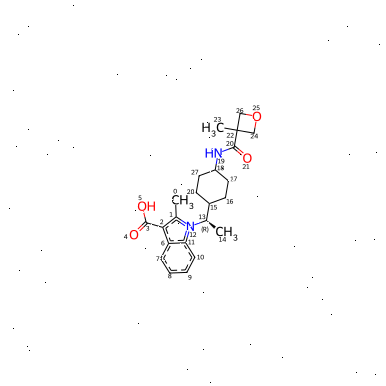 Cc1c(C(=O)O)c2ccccc2n1[C@H](C)C1CCC(NC(=O)C2(C)COC2)CC1